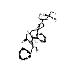 CC(C)(C)OC(=O)N1CC2(C[C@@H]3CC(=O)N([C@H](CO)c4ccccc4)[C@@H]3c3ccccc32)C1